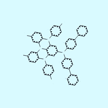 Cc1ccc(N2c3ccc(C)cc3B3c4cc(C)ccc4N(c4ccc(C)cc4)c4cc(N(c5ccc(-c6ccccc6)cc5)c5ccc(-c6ccccc6)cc5)cc2c43)cc1